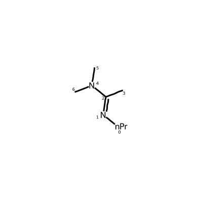 CCC/N=C(\C)N(C)C